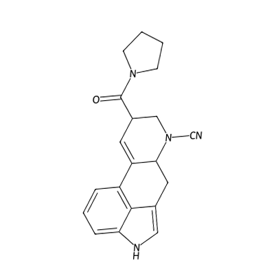 N#CN1CC(C(=O)N2CCCC2)C=C2c3cccc4[nH]cc(c34)CC21